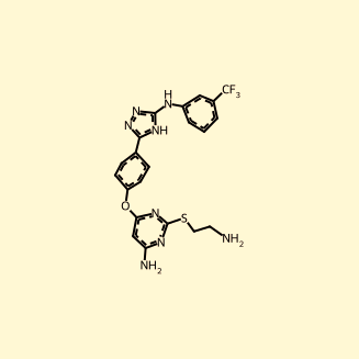 NCCSc1nc(N)cc(Oc2ccc(-c3nnc(Nc4cccc(C(F)(F)F)c4)[nH]3)cc2)n1